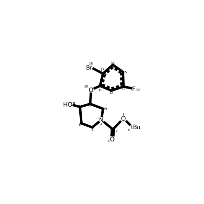 CC(C)(C)OC(=O)N1CCC(O)C(Oc2cc(F)ccc2Br)C1